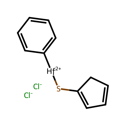 C1=CCC([S][Hf+2][c]2ccccc2)=C1.[Cl-].[Cl-]